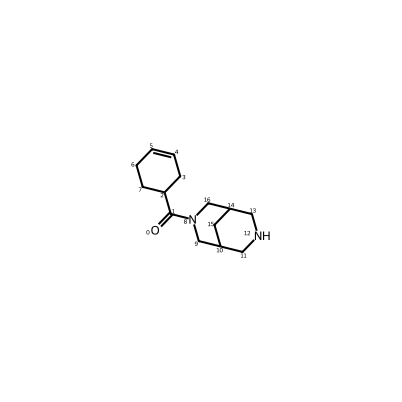 O=C(C1CC=CCC1)N1CC2CNCC(C2)C1